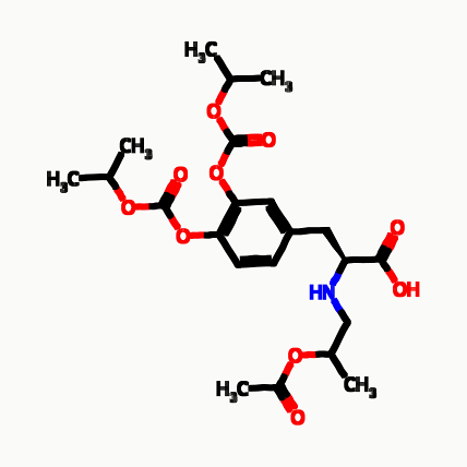 CC(=O)OC(C)CN[C@@H](Cc1ccc(OC(=O)OC(C)C)c(OC(=O)OC(C)C)c1)C(=O)O